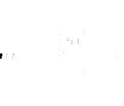 COc1cc(OC)c(CNS(=O)(=O)c2cccc3c(N)cccc23)c(OC)c1